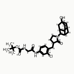 CC(C)(C)OC(=O)NCC(=O)Nc1ccc(CC2CCN(C3C4CC5CC3CC(O)(C5)C4)C2=O)c(Cl)c1